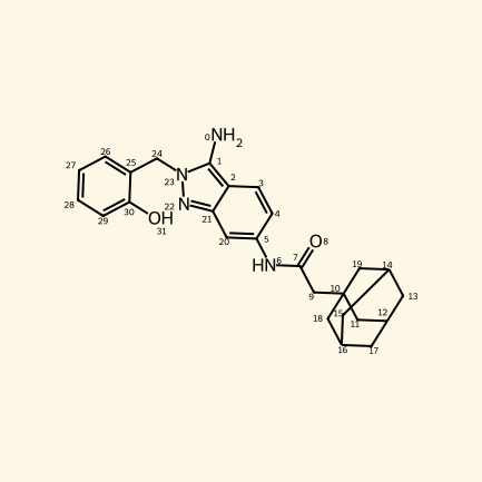 Nc1c2ccc(NC(=O)CC34CC5CC(CC(C5)C3)C4)cc2nn1Cc1ccccc1O